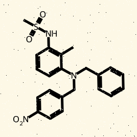 Cc1c(NS(C)(=O)=O)cccc1N(Cc1ccccc1)Cc1ccc([N+](=O)[O-])cc1